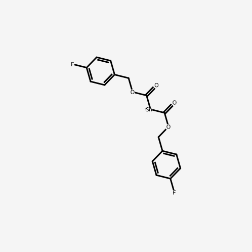 O=[C](OCc1ccc(F)cc1)[Sn][C](=O)OCc1ccc(F)cc1